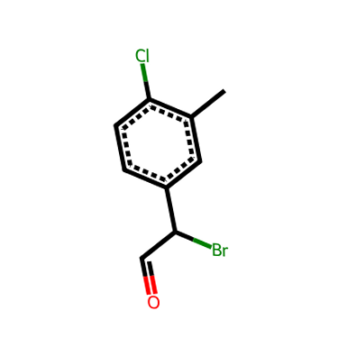 Cc1cc(C(Br)C=O)ccc1Cl